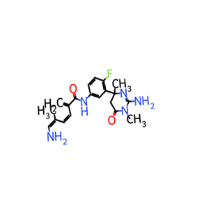 C=C(/C=C\C(C)=C/N)C(=O)Nc1ccc(F)c(C2(C)CC(=O)N(C)C(N)=N2)c1